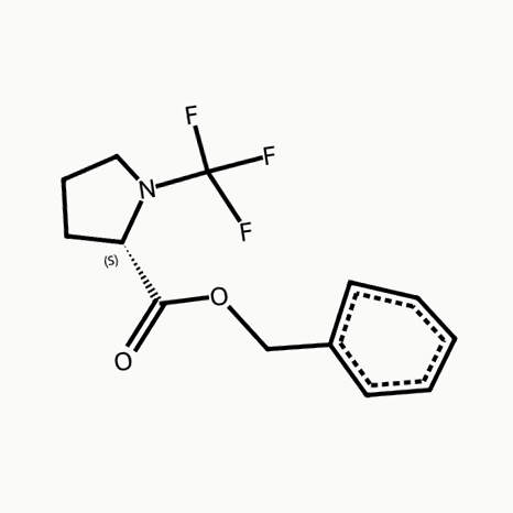 O=C(OCc1ccccc1)[C@@H]1CCCN1C(F)(F)F